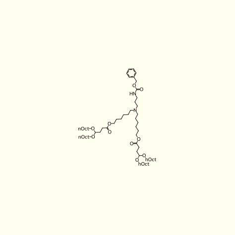 CCCCCCCCOC(CCC(=O)OCCCCCCN(CCCCCCOC(=O)CCC(OCCCCCCCC)OCCCCCCCC)CCCNC(=O)OCc1ccccc1)OCCCCCCCC